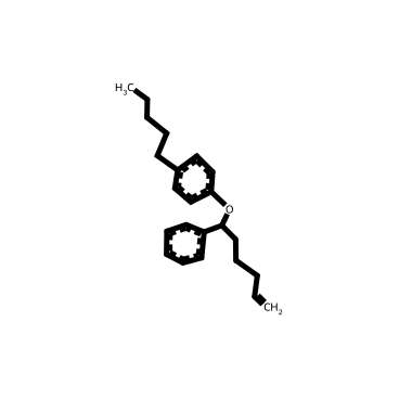 C=CCCCC(Oc1ccc(CCCCC)cc1)c1ccccc1